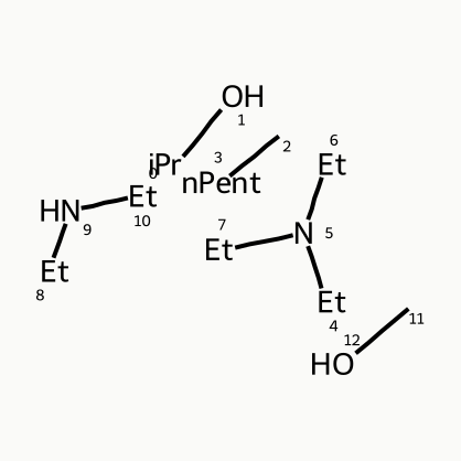 CC(C)O.CCCCCC.CCN(CC)CC.CCNCC.CO